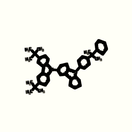 CC(C)(C)c1ccc2c(c1)c1cc(C(C)(C)C)ccc1n2-c1ccc2c(c1)c1ccccc1n2-c1ccc(C(C)(C)c2ccccc2)cc1